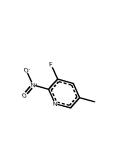 Cc1cnc([N+](=O)[O-])c(F)c1